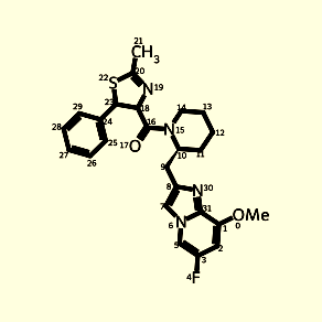 COc1cc(F)cn2cc(C[C@@H]3CCCCN3C(=O)C3N=C(C)SC3c3ccccc3)nc12